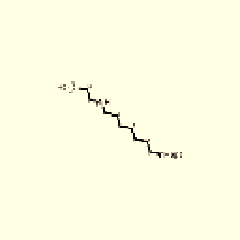 CCCCCCCCCCCCCCNCCC(=O)O